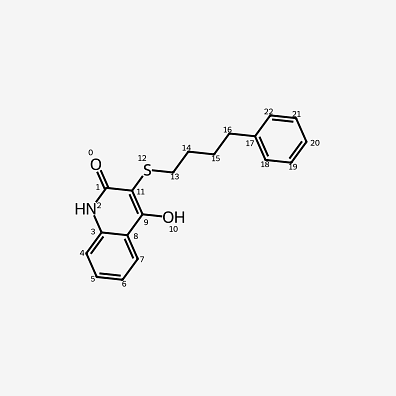 O=c1[nH]c2ccccc2c(O)c1SCCCCc1ccccc1